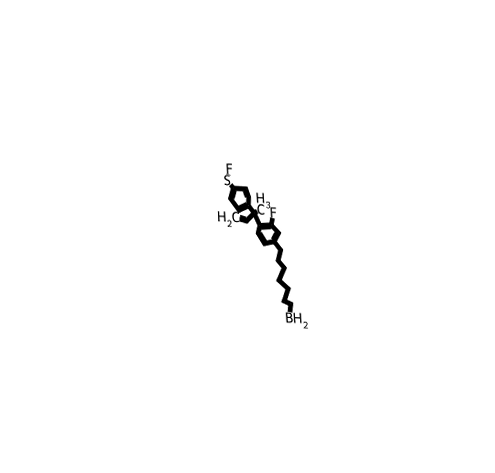 BCCCCCCCc1ccc(C(C)(C=C)c2ccc(SF)cc2)c(F)c1